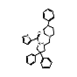 O=C(NCC(CCCN1CCC(c2ccccc2)CC1)(c1ccccc1)c1ccccc1)c1cccs1